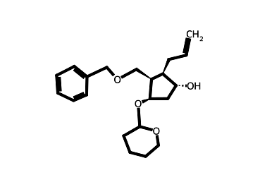 C=CC[C@@H]1[C@H](COCc2ccccc2)[C@H](OC2CCCCO2)C[C@H]1O